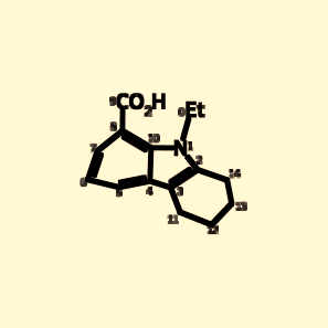 CCn1c2c(c3cccc(C(=O)O)c31)CCCC2